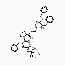 CC(C)(C)OC(=O)N[C@H](Cc1ccccc1)C(=O)N1CCC[C@H]1C(=O)NCC(=O)N[C@H](Cc1ccccc1)C(=O)OCc1ccccc1